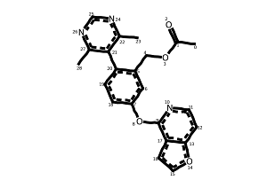 CC(=O)OCc1cc(Oc2nccc3occc23)ccc1-c1c(C)ncnc1C